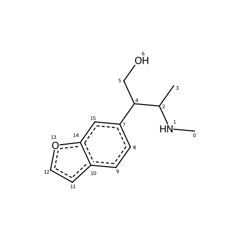 CNC(C)C(CO)c1ccc2ccoc2c1